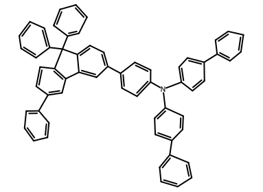 c1ccc(-c2ccc(N(c3ccc(-c4ccccc4)cc3)c3ccc(-c4ccc5c(c4)-c4cc(-c6ccccc6)ccc4C5(c4ccccc4)c4ccccc4)cc3)cc2)cc1